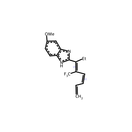 C=C/C=C\C(=C(/CC)c1nc2cc(OC)ccc2[nH]1)C(F)(F)F